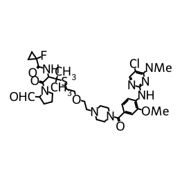 CNc1nc(Nc2ccc(C(=O)N3CCN(CCOCCSC(C)(C)C(NC(=O)C4(F)CC4)C(=O)N4CCCC4C=O)CC3)cc2OC)ncc1Cl